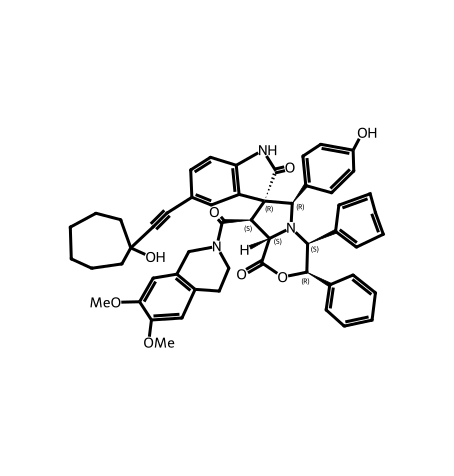 COc1cc2c(cc1OC)CN(C(=O)[C@@H]1[C@H]3C(=O)O[C@H](c4ccccc4)[C@H](c4ccccc4)N3[C@H](c3ccc(O)cc3)[C@@]13C(=O)Nc1ccc(C#CC4(O)CCCCCC4)cc13)CC2